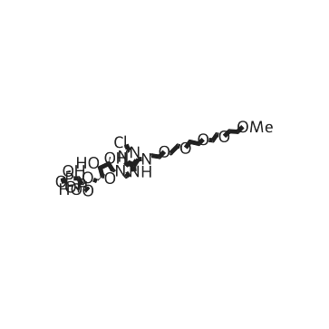 COCCOCCOCCOCCOCCNc1nc(Cl)nc2c1ncn2[C@@H]1O[C@H](COP(=O)(O)CP(=O)(O)O)[C@H](O)[C@@H]1O